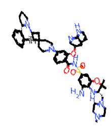 CC(C)c1ccccc1[C@@H]1CCCN1C1CC2(CCN(c3ccc(C(=O)NS(=O)(=O)c4cc(N)c5c(c4)OC(C)(C)[C@H](CN4CCN(C)CC4)N5)c(Oc4cnc5[nH]ccc5c4)c3)CC2)C1